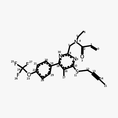 C=CC(=O)N(CC)Cc1nc(SCC#CC)c(C)c(-c2ccc(OC(F)(F)F)cc2)n1